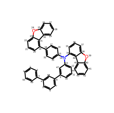 c1ccc(-c2cccc(-c3cccc(N(c4ccc(-c5cccc6oc7ccccc7c56)cc4)c4cccc5oc6ccccc6c45)c3)c2)cc1